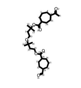 CC(=O)C1CCCC(C(=O)OC(C)(C)CCOC(C)(C)CCOC(=O)C2CCCC(C=O)CC2)CC1